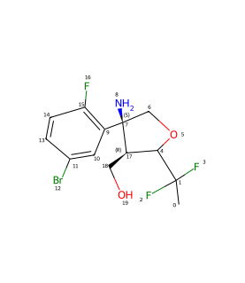 CC(F)(F)C1OC[C@@](N)(c2cc(Br)ccc2F)[C@@H]1CO